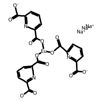 O=C([O-])c1cccc(C(=O)[O][Eu]([O]C(=O)c2cccc(C(=O)[O-])n2)[O]C(=O)c2cccc(C(=O)[O-])n2)n1.[Na+].[Na+].[Na+]